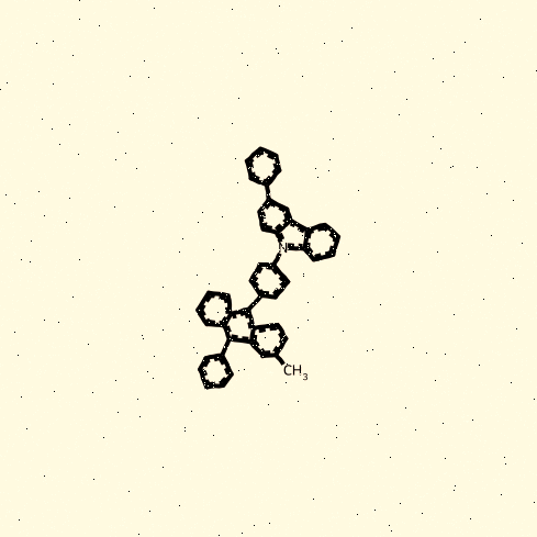 Cc1ccc2c(-c3ccc(-n4c5ccccc5c5cc(-c6ccccc6)ccc54)cc3)c3ccccc3c(-c3ccccc3)c2c1